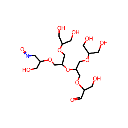 O=CC(CO)OCC(COC(CO)CO)OC(COC(CO)CO)COC(CO)CN=O